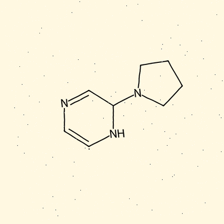 [C]1=CN=CC(N2CCCC2)N1